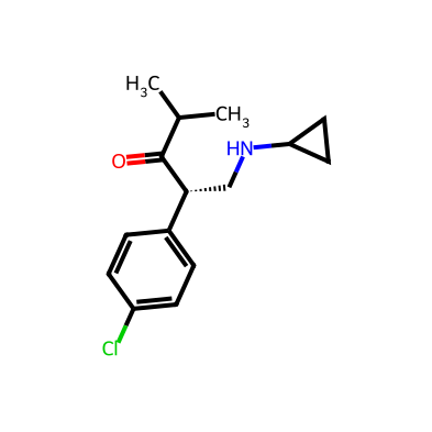 CC(C)C(=O)[C@H](CNC1CC1)c1ccc(Cl)cc1